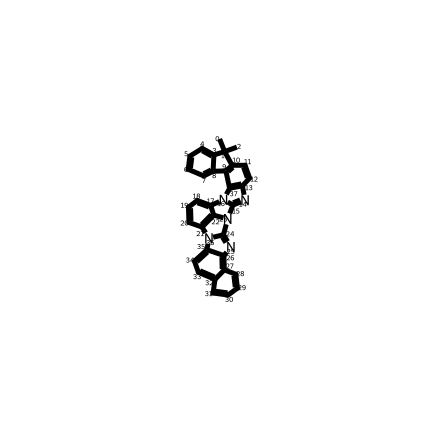 CC1(C)c2ccccc2-c2c1ccc1nc3n(c4cccc5c4n3c3nc4c6ccccc6ccc4n53)c21